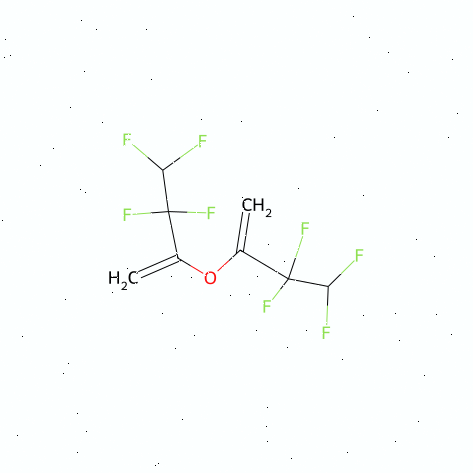 C=C(OC(=C)C(F)(F)C(F)F)C(F)(F)C(F)F